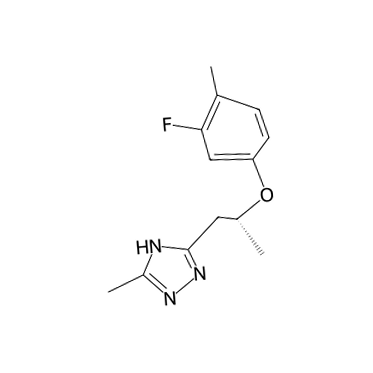 Cc1nnc(C[C@@H](C)Oc2ccc(C)c(F)c2)[nH]1